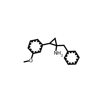 COc1cccc(C2CC2(N)Cc2ccccc2)c1